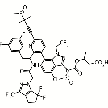 CC(CC(=O)O)OC(=O)N(c1nn(CC(F)(F)F)c2c(-c3ccc(C#CC(C)(C)[S+](C)[O-])nc3C(Cc3cc(F)cc(F)c3)NC(=O)Cn3nc(C(F)(F)F)c4c3C(F)(F)CC4)ccc(Cl)c12)[S+](C)[O-]